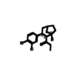 CCC(=O)[C@H]1[C@@H](c2ccc(Cl)c(Cl)c2)CC2CC[C@H]1S2